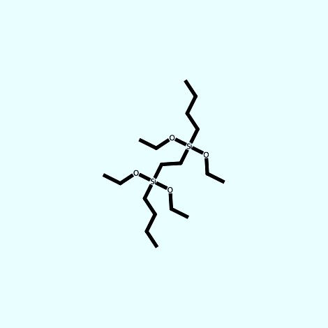 CCCC[Si](CC[Si](CCCC)(OCC)OCC)(OCC)OCC